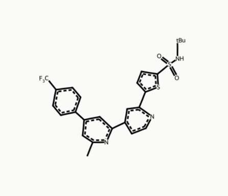 Cc1cc(-c2ccc(C(F)(F)F)cc2)cc(-c2ccnc(-c3ccc(S(=O)(=O)NC(C)(C)C)s3)c2)n1